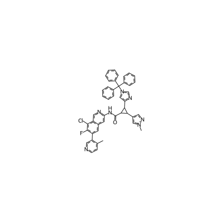 Cc1ccncc1-c1cc2cc(NC(=O)C3C(c4cnn(C)c4)C3c3cn(C(c4ccccc4)(c4ccccc4)c4ccccc4)cn3)ncc2c(Cl)c1F